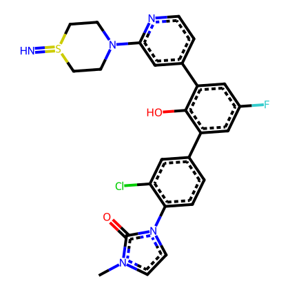 Cn1ccn(-c2ccc(-c3cc(F)cc(-c4ccnc(N5CCS(=N)CC5)c4)c3O)cc2Cl)c1=O